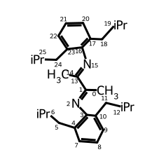 CC(=N\c1c(CC(C)C)cccc1CC(C)C)/C(C)=N/c1c(CC(C)C)cccc1CC(C)C